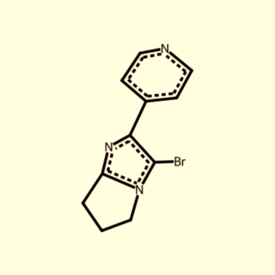 Brc1c(-c2ccncc2)nc2n1CCC2